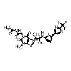 CC(=O)NC(=O)Cn1c(=O)c2c(ncn2[C@@H](C)C(O)Nc2cccc(-c3cnc(C(F)(F)F)nc3)n2)n(C)c1=O